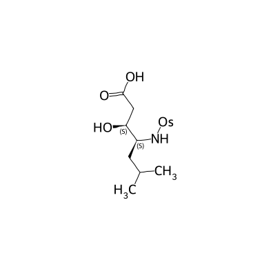 CC(C)C[C@H]([NH][Os])[C@@H](O)CC(=O)O